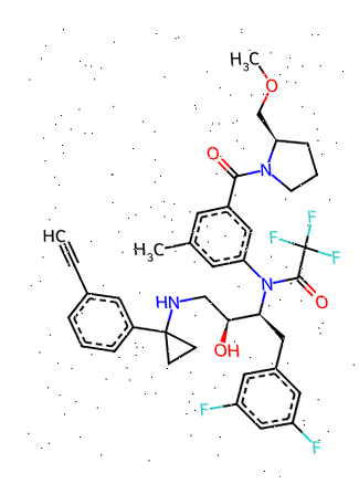 C#Cc1cccc(C2(NC[C@H](O)[C@H](Cc3cc(F)cc(F)c3)N(C(=O)C(F)(F)F)c3cc(C)cc(C(=O)N4CCC[C@@H]4COC)c3)CC2)c1